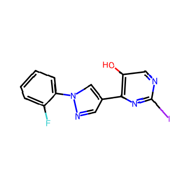 Oc1cnc(I)nc1-c1cnn(-c2ccccc2F)c1